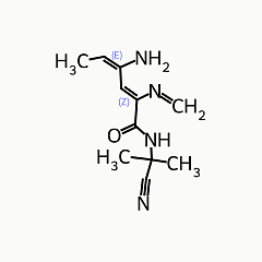 C=N/C(=C\C(N)=C/C)C(=O)NC(C)(C)C#N